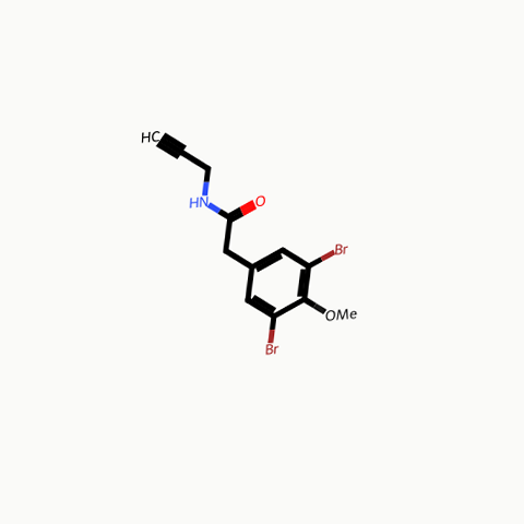 C#CCNC(=O)Cc1cc(Br)c(OC)c(Br)c1